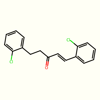 O=C(/C=C/c1ccccc1Cl)CCc1ccccc1Cl